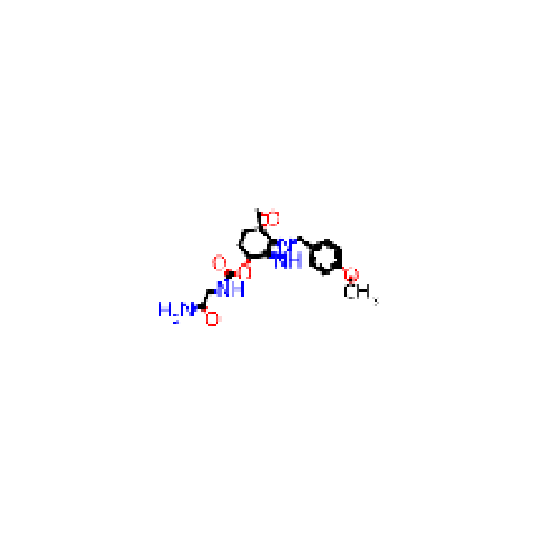 COc1ccc(Cn2[nH]c3c2[C@]2(CCC3OC(=O)NCC(N)=O)CO2)cc1